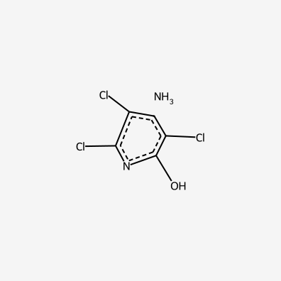 N.Oc1nc(Cl)c(Cl)cc1Cl